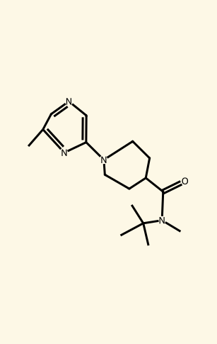 Cc1cncc(N2CCC(C(=O)N(C)C(C)(C)C)CC2)n1